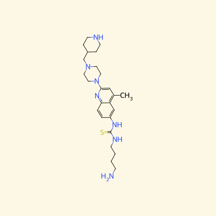 Cc1cc(N2CCN(CC3CCNCC3)CC2)nc2ccc(NC(=S)NCCCCN)cc12